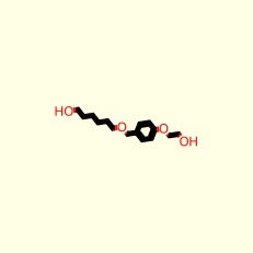 OCCCCCCOCc1ccc(OCCO)cc1